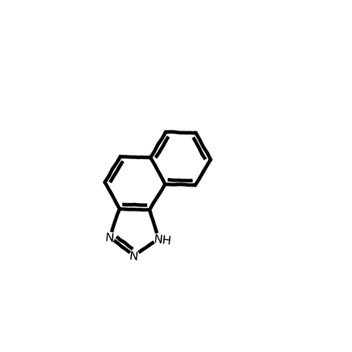 c1ccc2c(c1)ccc1nn[nH]c12